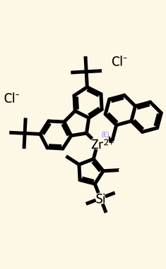 CC1=[C](/[Zr+2](=[CH]/c2cccc3ccccc23)[CH]2c3ccc(C(C)(C)C)cc3-c3cc(C(C)(C)C)ccc32)C(C)C=C1[Si](C)(C)C.[Cl-].[Cl-]